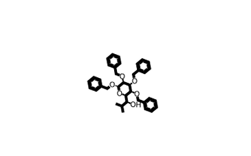 CC(C)[C@H](O)[C@H]1O[C@H](OCc2ccccc2)[C@@H](OCc2ccccc2)[C@@H](OCc2ccccc2)[C@H]1OCc1ccccc1